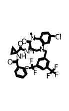 CN1C(=O)[C@H](NC(=O)C2(NC(=O)c3ccccc3)CC2)CN(Cc2cc(C(F)(F)F)cc(C(F)(F)F)c2)c2cc(Cl)ccc21